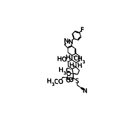 COCC(=O)O[C@]1(C(=O)SCC#N)CC[C@H]2[C@@H]3CCC4=Cc5c(cnn5-c5ccc(F)cc5)C[C@]4(C)[C@H]3[C@@H](O)C[C@@]21C